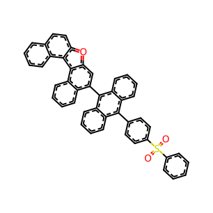 O=S(=O)(c1ccccc1)c1ccc(-c2c3ccccc3c(-c3cc4oc5ccc6ccccc6c5c4c4ccccc34)c3ccccc23)cc1